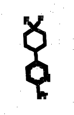 CC(C)c1ccc(C2CCC(F)(F)CC2)cn1